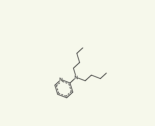 CCCCN(CCCC)c1ccccn1